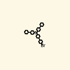 Brc1ccc(-c2ccc(N(c3ccc(-c4ccccc4)cc3)c3ccc(-c4ccccc4)cc3)cc2)cc1